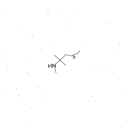 CNC(C)(C)CSC